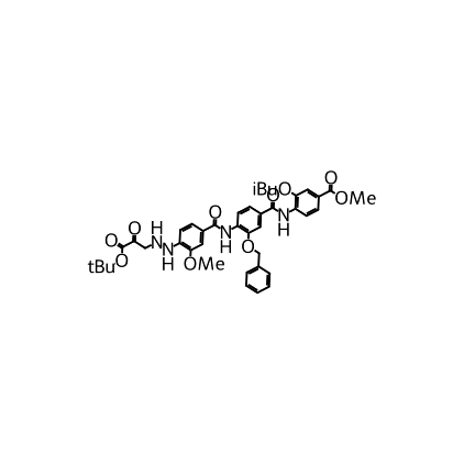 COC(=O)c1ccc(NC(=O)c2ccc(NC(=O)c3ccc(NNCC(=O)C(=O)OC(C)(C)C)c(OC)c3)c(OCc3ccccc3)c2)c(OCC(C)C)c1